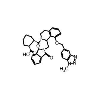 Cn1nnc2cc(COc3cccc4c3C(CN3Cc5ccccc5C3=O)N(C(=O)[C@@H]3CCCC[C@@H]3C(=O)O)CC4)ccc21